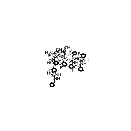 CC(C)(C)CC(C)(C)NC(=S)Nc1cccc(F)c1O.CCCCCNC(=S)Nc1cccc(F)c1O.Cc1ccccc1CNC(=S)Nc1cccc(F)c1O.Oc1c(F)cccc1NC(=S)NCCc1ccccc1.Oc1c(F)cccc1NC(=S)NCc1ccccc1